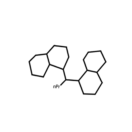 CCCC(C1CCCC2CCCCC21)C1CCCC2CCCCC21